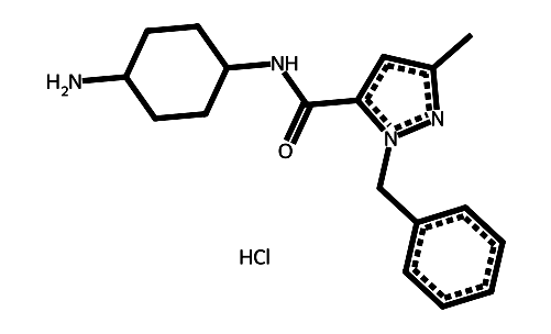 Cc1cc(C(=O)NC2CCC(N)CC2)n(Cc2ccccc2)n1.Cl